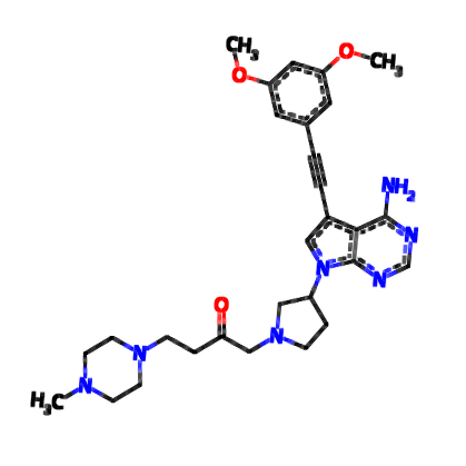 COc1cc(C#Cc2cn(C3CCN(CC(=O)CCN4CCN(C)CC4)C3)c3ncnc(N)c23)cc(OC)c1